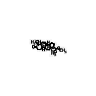 COC(=O)C1=CC[C@H]2[C@@H]3CC[C@H]4N(C)C(=O)CC[C@]4(C)[C@H]3CC[C@]12C